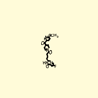 COc1ccc(C(=O)C2CCN(C(=O)CCCc3cn4cc(F)cc4c(=O)[nH]3)CC2)nn1